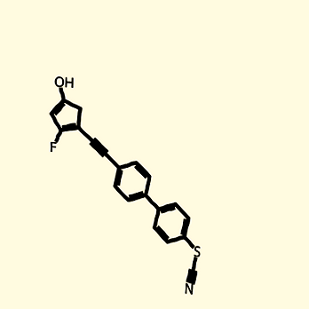 N#CSc1ccc(-c2ccc(C#CC3=C(F)C=C(O)C3)cc2)cc1